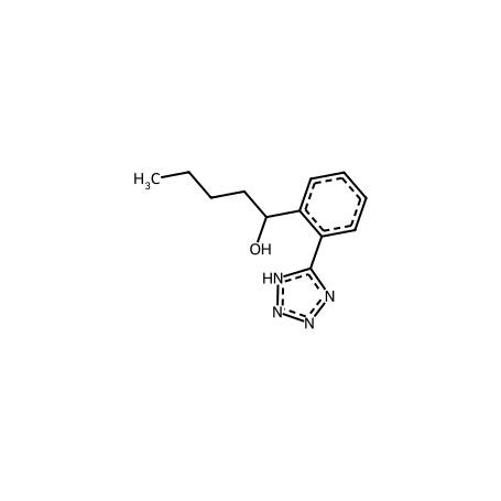 CCCCC(O)c1ccccc1-c1nnn[nH]1